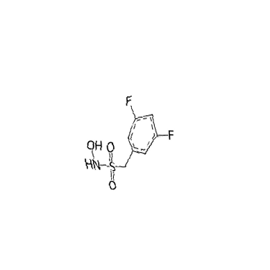 O=S(=O)(Cc1cc(F)cc(F)c1)NO